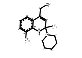 OCC1=CC(N2CCCCC2)(C(F)(F)F)Nc2c1cccc2C(F)(F)F